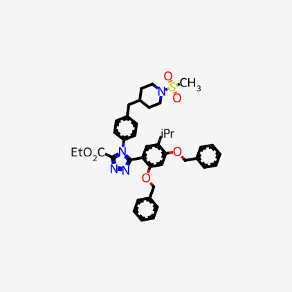 CCOC(=O)c1nnc(-c2cc(C(C)C)c(OCc3ccccc3)cc2OCc2ccccc2)n1-c1ccc(CC2CCN(S(C)(=O)=O)CC2)cc1